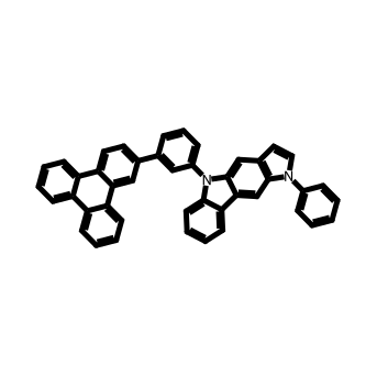 c1ccc(-n2ccc3cc4c(cc32)c2ccccc2n4-c2cccc(-c3ccc4c5ccccc5c5ccccc5c4c3)c2)cc1